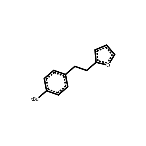 CC(C)(C)c1ccc(CCc2ccco2)cc1